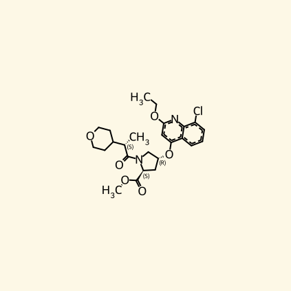 CCOc1cc(O[C@@H]2C[C@@H](C(=O)OC)N(C(=O)[C@@H](C)C3CCOCC3)C2)c2cccc(Cl)c2n1